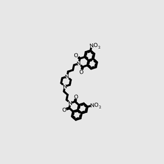 O=C1c2cccc3cc([N+](=O)[O-])cc(c23)C(=O)N1CCCN1CCN(CCCN2C(=O)c3cccc4cc([N+](=O)[O-])cc(c34)C2=O)CC1